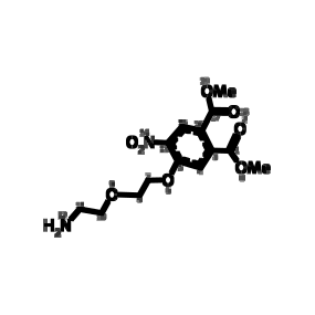 COC(=O)c1cc(OCCOCCN)c([N+](=O)[O-])cc1C(=O)OC